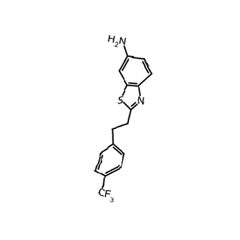 Nc1ccc2nc(CCc3ccc(C(F)(F)F)cc3)sc2c1